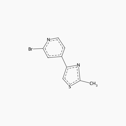 Cc1nc(-c2ccnc(Br)c2)cs1